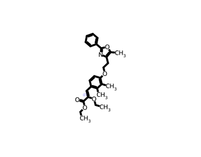 CCOC(=O)/C(=C/c1ccc(OCCc2nc(-c3ccccc3)oc2C)c(C)c1C)OCC